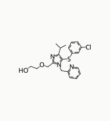 CC(C)c1nc(COCCO)n(Cc2ccccn2)c1Sc1cccc(Cl)c1